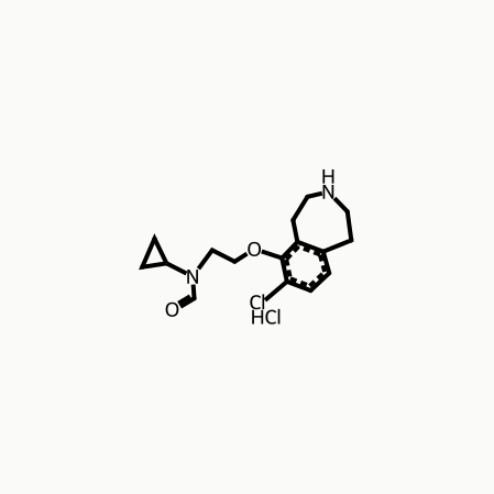 Cl.O=CN(CCOc1c(Cl)ccc2c1CCNCC2)C1CC1